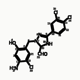 Nc1cc(O)c(CN2N=C(c3ccc(Cl)c(Cl)c3)NC2C=O)cc1Cl